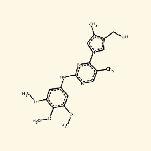 COc1cc(Nc2ncc(C)c(-n3cc(C)c(CO)c3)n2)cc(OC)c1OC